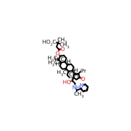 CC(C)C1=C2[C@H]3CC[C@@H]4[C@@]5(C)CC[C@H](OC(=O)CC(C)(C)C(=O)O)C(C)(C)[C@@H]5CC[C@@]4(C)[C@]3(C)CC[C@@]2([C@H](O)CNC(C)c2ccccn2)CC1=O